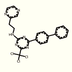 ClC(Cl)(Cl)c1nc(NCCc2cnccn2)nc(-c2ccc(-c3ccccc3)cc2)n1